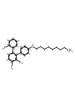 CCCCCCCCCOc1ccc(-c2c(-c3ccccc3F)ccc(F)c2F)cc1